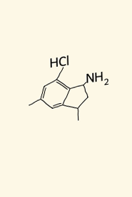 Cc1cc(C)c2c(c1)C(C)CC2N.Cl